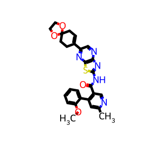 COc1ccccc1-c1cc(C)ncc1C(=O)Nc1nc2ncc(C3=CCC4(CC3)OCCO4)nc2s1